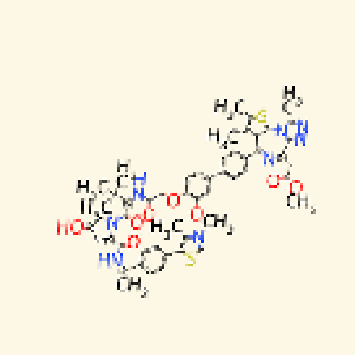 COC(=O)C[C@@H]1N=C(c2ccc(-c3ccc(OCC(=O)N[C@H](C(=O)N4C[C@H](O)C[C@H]4C(=O)N[C@@H](C)c4ccc(-c5scnc5C)cc4)C(C)(C)C)c(OC)c3)cc2)c2c(sc(C)c2C)-n2c(C)nnc21